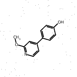 COc1cc(-c2ccc(O)cc2)ccn1